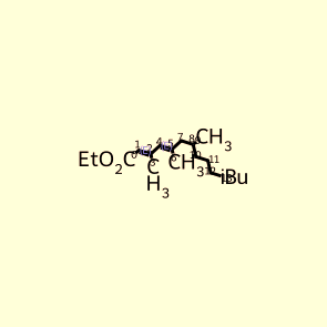 CCOC(=O)/C=C(C)/C=C(\C)CC(C)CCCC(C)CC